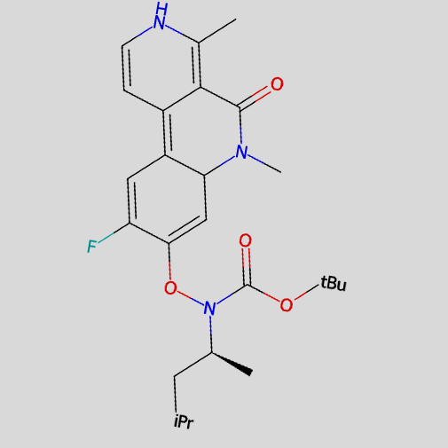 CC1=C2C(=O)N(C)C3C=C(ON(C(=O)OC(C)(C)C)[C@@H](C)CC(C)C)C(F)=CC3=C2C=CN1